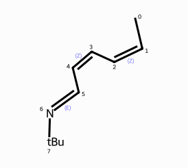 C\C=C/C=C\C=N\C(C)(C)C